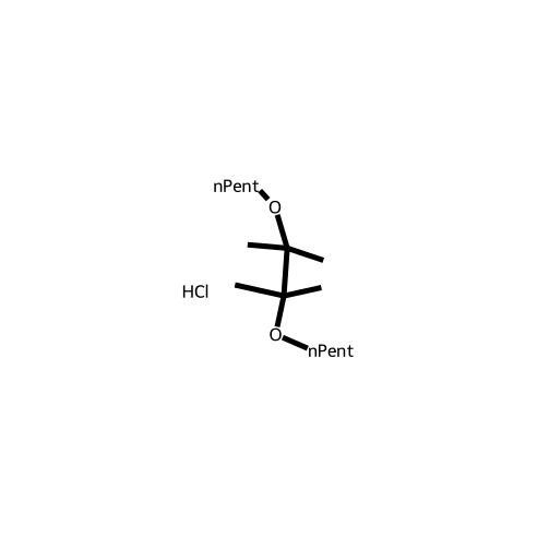 CCCCCOC(C)(C)C(C)(C)OCCCCC.Cl